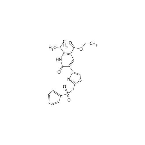 CCOC(=O)c1cc(-c2csc(CS(=O)(=O)c3ccccc3)n2)c(=O)[nH]c1C(C)C